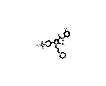 Cc1c(C(=O)Nc2cccc(C(F)(F)F)c2)cc(C2CCN(S(C)(=O)=O)CC2)n1CCCN1CCOCC1